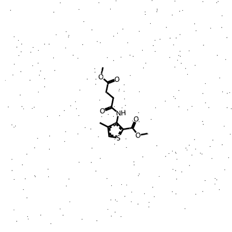 COC(=O)CCC(=O)Nc1c(C)csc1C(=O)OC